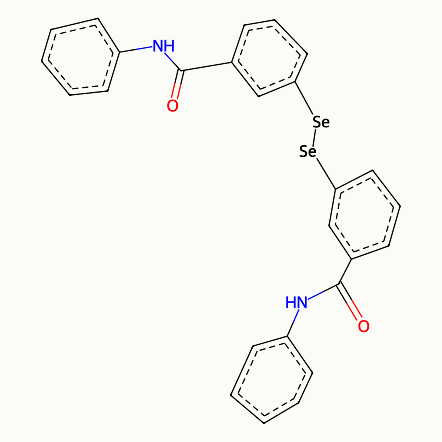 O=C(Nc1ccccc1)c1cccc([Se][Se]c2cccc(C(=O)Nc3ccccc3)c2)c1